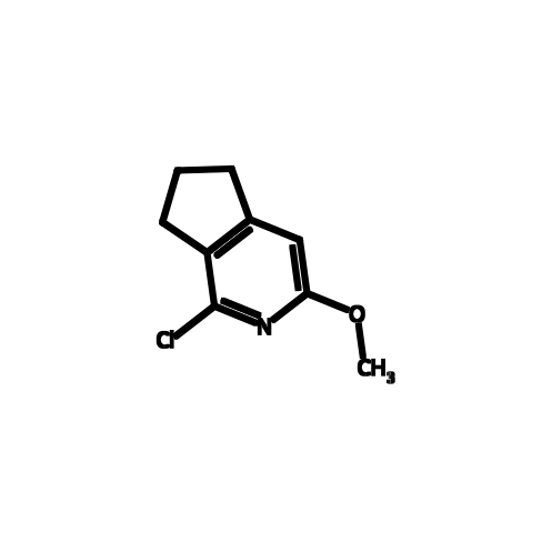 COc1cc2c(c(Cl)n1)CCC2